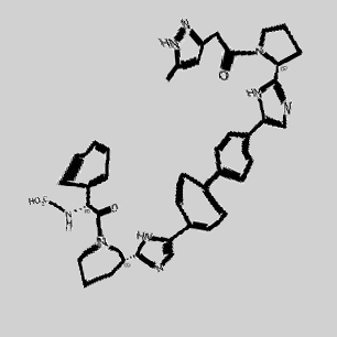 Cc1cc(CC(=O)N2CCC[C@H]2c2ncc(-c3ccc(-c4ccc(-c5cnc([C@@H]6CCCN6C(=O)[C@H](NC(=O)O)c6ccccc6)[nH]5)cc4)cc3)[nH]2)n[nH]1